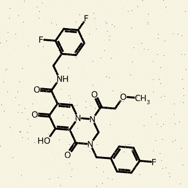 COCC(=O)N1CN(Cc2ccc(F)cc2)C(=O)c2c(O)c(=O)c(C(=O)NCc3ccc(F)cc3F)cn21